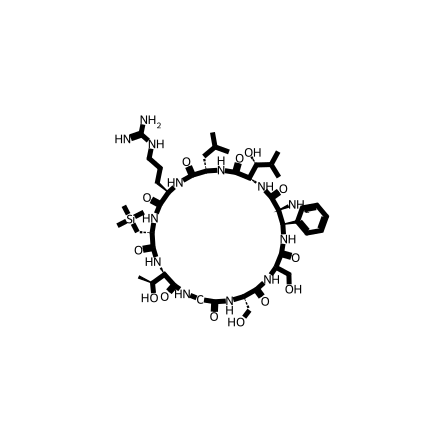 CC(C)C[C@@H]1NC(=O)[C@H]([C@H](O)C(C)C)NC(=O)[C@@H](N)[C@@H](c2ccccc2)NC(=O)C(CO)NC(=O)[C@H](CO)NC(=O)CNC(=O)[C@H]([C@H](C)O)NC(=O)[C@H](C[Si](C)(C)C)NC(=O)[C@@H](CCCNC(=N)N)NC1=O